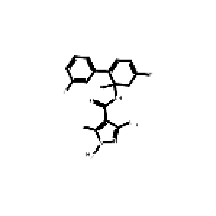 Cn1nc(C(F)(F)F)c(C(=O)NC2(F)CC(F)=CC=C2c2cccc(F)c2)c1F